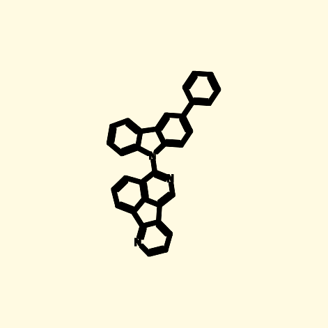 c1ccc(-c2ccc3c(c2)c2ccccc2n3-c2ncc3c4c(cccc24)-c2ncccc2-3)cc1